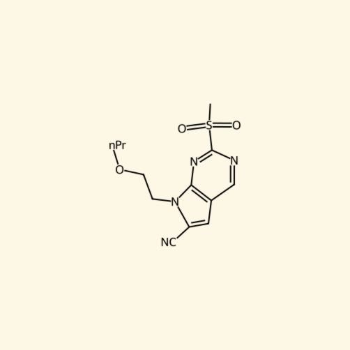 CCCOCCn1c(C#N)cc2cnc(S(C)(=O)=O)nc21